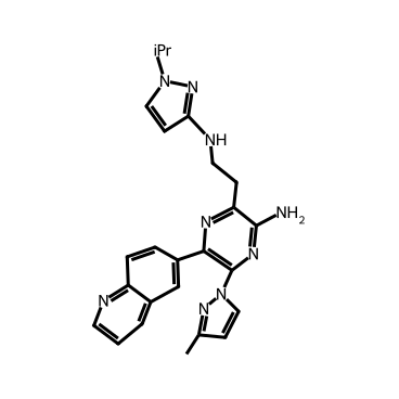 Cc1ccn(-c2nc(N)c(CCNc3ccn(C(C)C)n3)nc2-c2ccc3ncccc3c2)n1